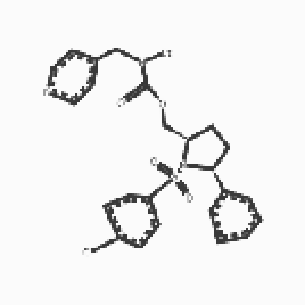 CCN(Cc1ccncc1)C(=O)OC[C@H]1CC[C@@H](c2ccccc2)N1S(=O)(=O)c1ccc(Cl)cc1